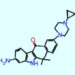 CC1(C)c2ccc(N3CCN(C4CC4)CC3)cc2C(=O)c2c1[nH]c1cc(N)ccc21